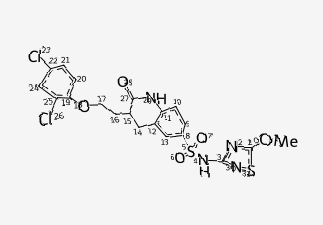 COc1nc(NS(=O)(=O)c2ccc3c(c2)CC(CCOc2ccc(Cl)cc2Cl)C(=O)N3)ns1